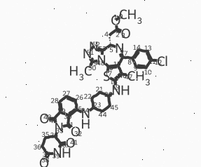 COC(=O)C[C@@H]1N=C(c2ccc(Cl)cc2)c2c(sc(NC3CCC(Nc4cccc5c4C(=O)N(C4CCC(=O)NC4=O)C5=O)CC3)c2C)-n2c(C)nnc21